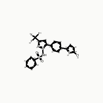 O=S(=O)(Nn1nc(C(F)(F)F)cc1-c1ccc(-c2ccc(Cl)s2)cc1)c1ccccc1